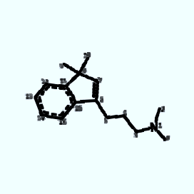 CN(C)CCCC1=CC(C)(C)c2ccccc21